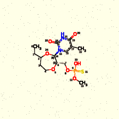 CCC1CCO[C@@H](COP(O)(=S)OC)[C@H](n2cc(C)c(=O)[nH]c2=O)O1